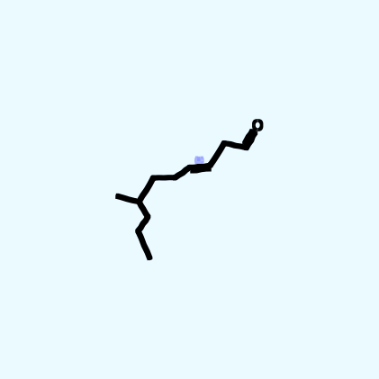 CCCC(C)CC/C=C/CC=O